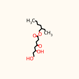 CCCCC(CC)COC(=O)CCC(=O)CC(O)CCO